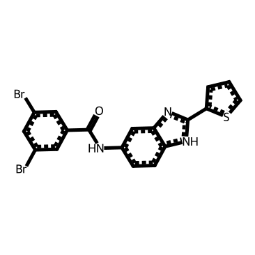 O=C(Nc1ccc2[nH]c(-c3cccs3)nc2c1)c1cc(Br)cc(Br)c1